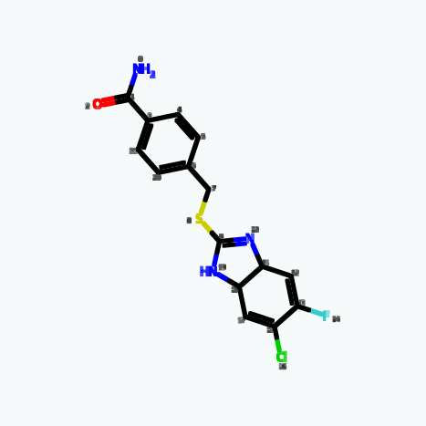 NC(=O)c1ccc(CSC2=NC3C=C(F)C(Cl)=CC3N2)cc1